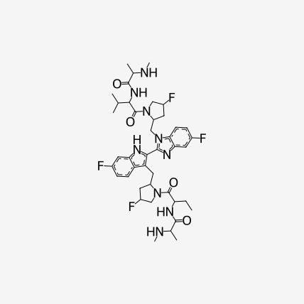 CCC(NC(=O)C(C)NC)C(=O)N1CC(F)CC1Cc1c(-c2nc3cc(F)ccc3n2CC2CC(F)CN2C(=O)C(NC(=O)C(C)NC)C(C)C)[nH]c2cc(F)ccc12